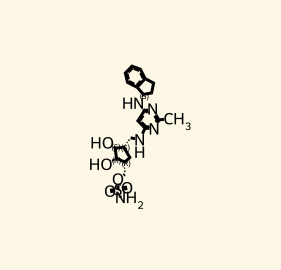 Cc1nc(NC[C@@H]2C[C@H](COS(N)(=O)=O)[C@@H](O)[C@H]2O)cc(N[C@H]2CCc3ccccc32)n1